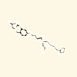 O=C1CN2Cc3ccc(OCCCC(=O)N(CCO)CCCCC4CCCC4)cc3N=C2N1